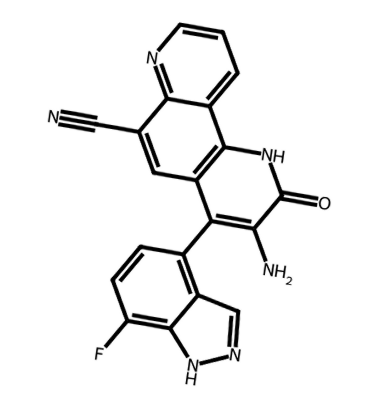 N#Cc1cc2c(-c3ccc(F)c4[nH]ncc34)c(N)c(=O)[nH]c2c2cccnc12